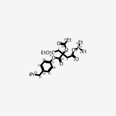 CCOC(=O)CC(CC(=O)ON(CC)CC)(OC(=O)CC)C(=O)Oc1ccc(CC(C)C)cc1